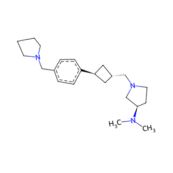 CN(C)[C@@H]1CCN(C[C@H]2C[C@H](c3ccc(CN4CCCC4)cc3)C2)C1